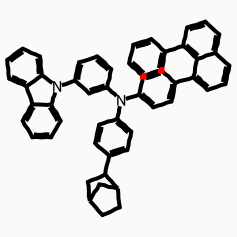 c1ccc(-c2cccc3cccc(-c4ccc(N(c5ccc(C6CC7CCC6C7)cc5)c5cccc(-n6c7ccccc7c7ccccc76)c5)cc4)c23)cc1